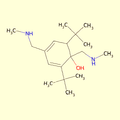 CNCC1=CC(C(C)(C)C)C(O)(CNC)C(C(C)(C)C)=C1